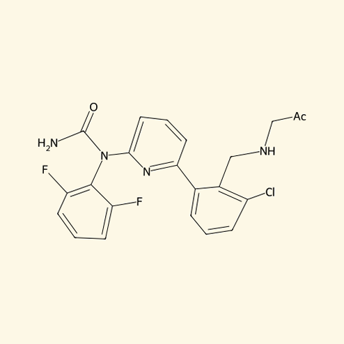 CC(=O)CNCc1c(Cl)cccc1-c1cccc(N(C(N)=O)c2c(F)cccc2F)n1